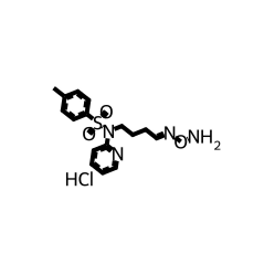 Cc1ccc(S(=O)(=O)N(CCCC=NON)c2ccccn2)cc1.Cl